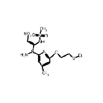 CCOCCOc1cc(C(F)(F)F)cc(N(N)C(=C[N+](=O)[O-])NS(C)(=O)=O)n1